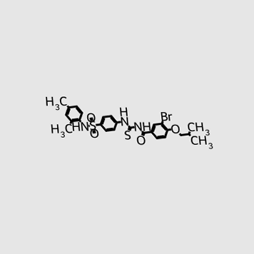 Cc1ccc(NS(=O)(=O)c2ccc(NC(=S)NC(=O)c3ccc(OCC(C)C)c(Br)c3)cc2)c(C)c1